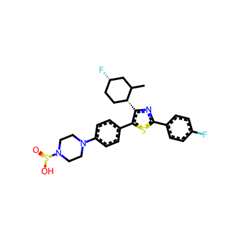 CC1C[C@@H](F)CC[C@H]1c1nc(-c2ccc(F)cc2)sc1-c1ccc(N2CCN(S(=O)O)CC2)cc1